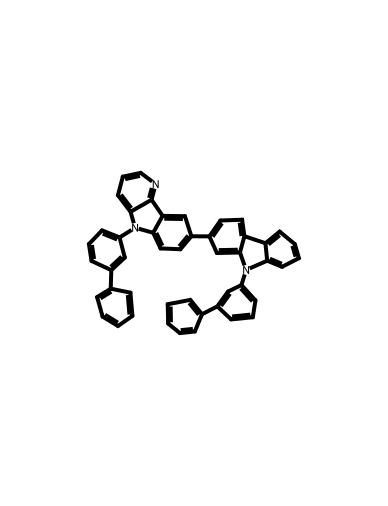 c1ccc(-c2cccc(-n3c4ccccc4c4ccc(-c5ccc6c(c5)c5ncccc5n6-c5cccc(-c6ccccc6)c5)cc43)c2)cc1